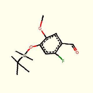 COc1cc(C=O)c(F)cc1O[Si](C)(C)C(C)(C)C